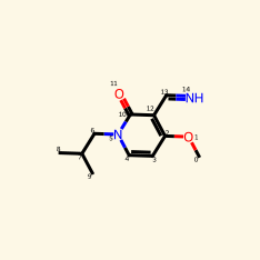 COc1ccn(CC(C)C)c(=O)c1C=N